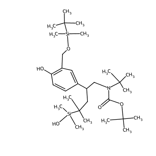 CC(C)(C)OC(=O)N(CC(CC(C)(C)[Si](C)(C)O)c1ccc(O)c(CO[Si](C)(C)C(C)(C)C)c1)C(C)(C)C